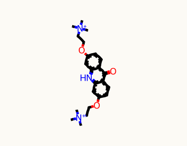 C[N+](C)(C)CCOc1ccc2c(=O)c3ccc(OCC[N+](C)(C)C)cc3[nH]c2c1